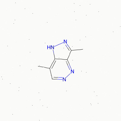 Cc1n[nH]c2c(C)cnnc12